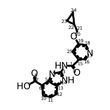 O=C(Nc1nc2c(C(=O)O)cccc2[nH]1)c1cncc(OCC2CC2)c1